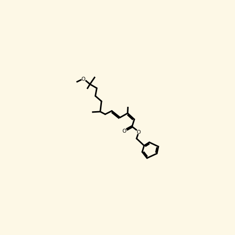 COC(C)(C)CCCC(C)CC=CC(C)=CC(=O)OCc1ccccc1